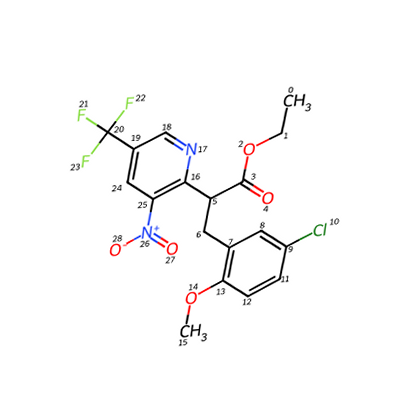 CCOC(=O)C(Cc1cc(Cl)ccc1OC)c1ncc(C(F)(F)F)cc1[N+](=O)[O-]